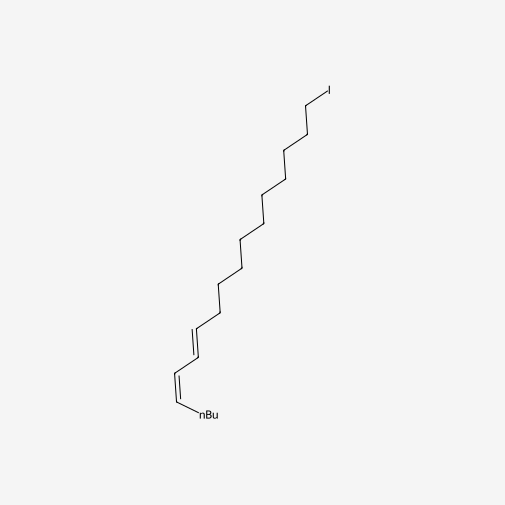 CCCC/C=C\C=C\CCCCCCCCCCI